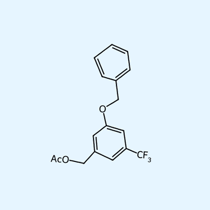 CC(=O)OCc1cc(OCc2ccccc2)cc(C(F)(F)F)c1